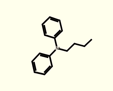 CCCC[N+](c1ccccc1)c1ccccc1